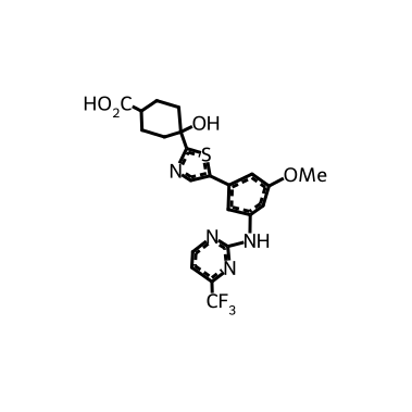 COc1cc(Nc2nccc(C(F)(F)F)n2)cc(-c2cnc(C3(O)CCC(C(=O)O)CC3)s2)c1